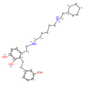 Oc1cccc(CCc2c(CCNCCCCCCNCCC3CCCCC3)ccc(O)c2O)c1